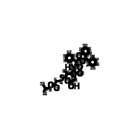 CC(=CSCCC(=O)OCC(C)C)C1C(NC(=O)C(C(=O)OC(c2ccccc2)c2ccccc2)c2ccccc2)C(=O)N1CC(=O)O